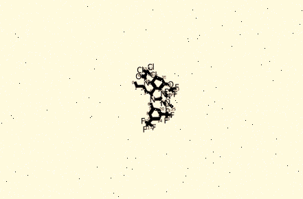 CCC1CC(N(Cc2cc(C(F)(F)F)cc(C(F)(F)F)c2)c2nnn(C)n2)c2cc(OC(F)(F)F)ccc2N1C(=O)C(Cl)(Cl)Cl